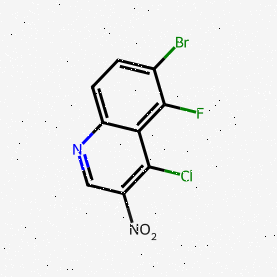 O=[N+]([O-])c1cnc2ccc(Br)c(F)c2c1Cl